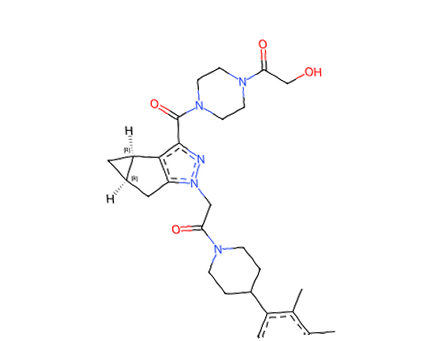 Cc1cccc(C2CCN(C(=O)Cn3nc(C(=O)N4CCN(C(=O)CO)CC4)c4c3C[C@H]3C[C@@H]43)CC2)c1C